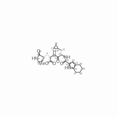 COC(=O)[C@H](C[C@@H]1CCNC1=O)NC(=O)[C@H](CC1CC1)NC(=O)c1cc2c([nH]1)CCCC2